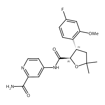 COc1cc(F)ccc1[C@@H]1CC(C)(C)O[C@H]1C(=O)Nc1ccnc(C(N)=O)c1